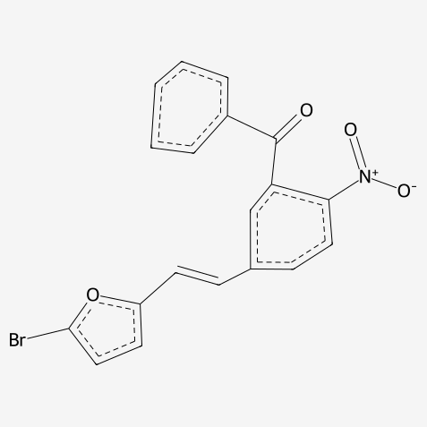 O=C(c1ccccc1)c1cc(C=Cc2ccc(Br)o2)ccc1[N+](=O)[O-]